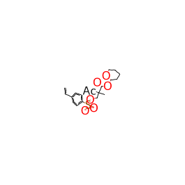 C=Cc1ccc(S(=O)(=O)OCC(C)(C(C)=O)C(=O)OC2CCCCO2)cc1